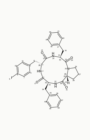 O=C1N[C@H](Cc2ccc(I)cc2)C(=O)N[C@@H](Cc2ccccc2)C(=O)N2CCC[C@@H]2C(=O)N[C@H]1Cc1ccccc1